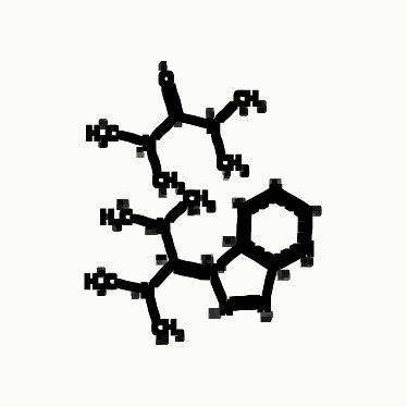 CN(C)C(=O)N(C)C.CN(C)C(N(C)C)=[N+]1N=Nc2ncccc21